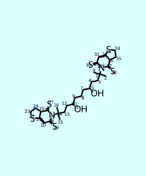 CC(C)(CCC(O)CCCC(O)CCC(C)(C)N1C(=S)C=C2SCCC2C1=S)N1C(=S)C=C2SCCC2C1=S